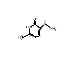 NNc1cnc(N)[nH]c1=O